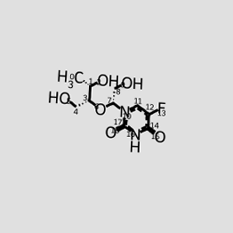 C[C@H](O)[C@@H](CO)O[C@H](CO)n1cc(F)c(=O)[nH]c1=O